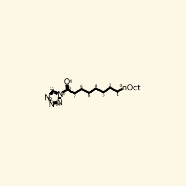 CCCCCCCCCCCCCCCC(=O)n1cnnn1